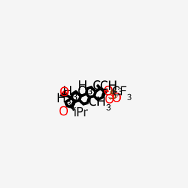 CC(C)C1=C2C3CCC4C5(C)CC=C(OS(=O)(=O)C(F)(F)F)C(C)(C)C5CCC4(C)C3(C)CCC2(C2CO2)CC1=O